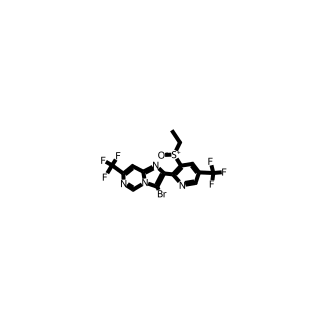 CC[S+]([O-])c1cc(C(F)(F)F)cnc1-c1nc2cc(C(F)(F)F)ncn2c1Br